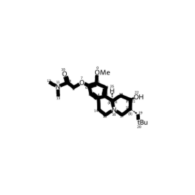 COc1cc2c(cc1OCC(=O)N(C)C)CCN1C[C@@H](CC(C)(C)C)[C@H](O)C[C@H]21